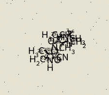 C=N/C(NC1(C)CC1)=C(\C)C(C(=O)N1CC(C#N)C2(C1)C(=O)NC(=C)/C2=C\C)=C(C)C